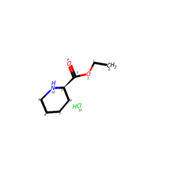 CCOC(=O)[C@H]1CCCCN1.Cl